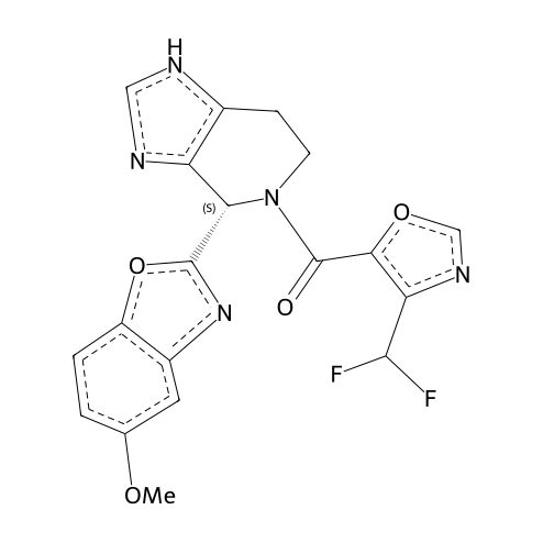 COc1ccc2oc([C@@H]3c4nc[nH]c4CCN3C(=O)c3ocnc3C(F)F)nc2c1